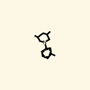 Cc1cc[c]c(N2CC(C)CC(C)C2)c1